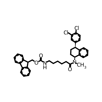 CN(C(=O)CCCCCNC(=O)OCC1c2ccccc2-c2ccccc21)[C@H]1CC[C@@H](c2ccc(Cl)c(Cl)c2)c2ccccc21